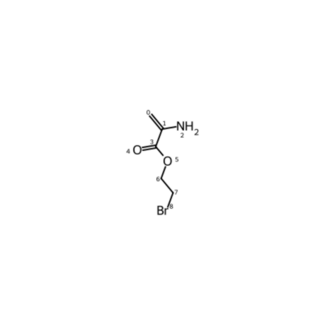 C=C(N)C(=O)OCCBr